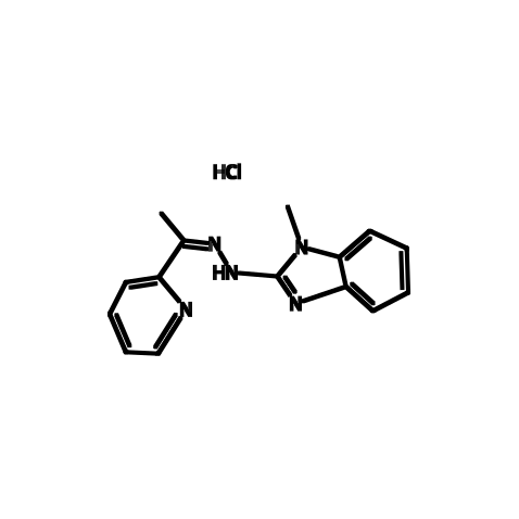 C/C(=N/Nc1nc2ccccc2n1C)c1ccccn1.Cl